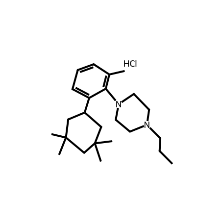 CCCN1CCN(c2c(C)cccc2C2CC(C)(C)CC(C)(C)C2)CC1.Cl